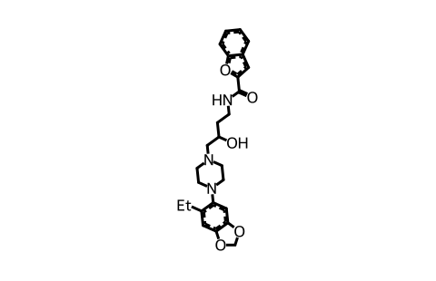 CCc1cc2c(cc1N1CCN(CC(O)CCNC(=O)c3cc4ccccc4o3)CC1)OCO2